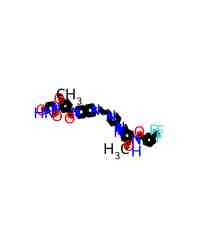 COc1cc2nn(C3CCN(CCCN4CCC5(CC4)CCN(C(=O)c4ccc(OC)c(N6CCC(=O)NC6=O)c4)CC5)CC3)cc2cc1NC(=O)c1cccc(C(F)(F)F)c1